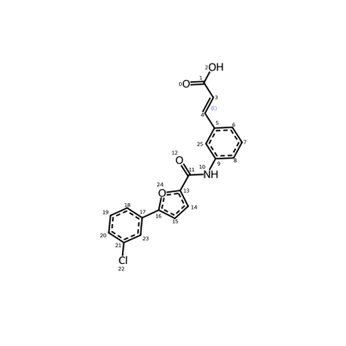 O=C(O)/C=C/c1cccc(NC(=O)c2ccc(-c3cccc(Cl)c3)o2)c1